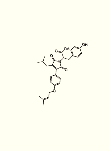 CC(C)=CCOc1ccc(C2=C(CC(C)C)C(=O)N(C(Cc3ccc(O)cc3)C(=O)O)C2=O)cc1